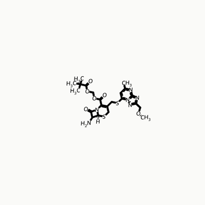 COCc1nc2nc(C)cc(SCC3=C(C(=O)OCOC(=O)C(C)(C)C)N4C(=O)C(N)[C@@H]4SC3)n2n1